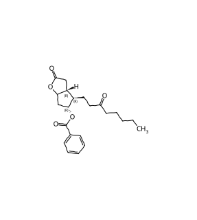 CCCCCC(=O)CC[C@H]1[C@H](OC(=O)c2ccccc2)CC2OC(=O)C[C@@H]21